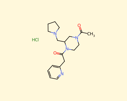 CC(=O)N1CCN(C(=O)Cc2ccccn2)C(CN2CCCC2)C1.Cl